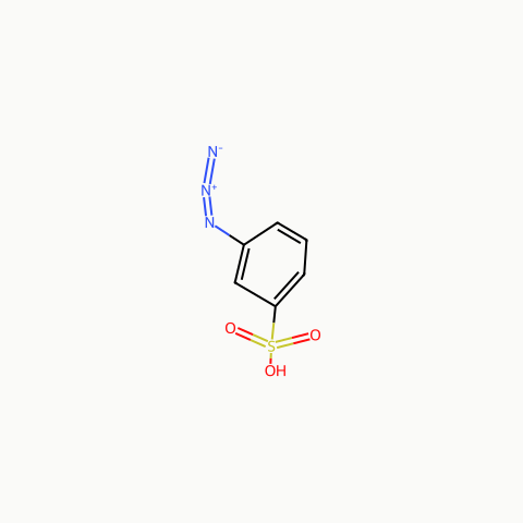 [N-]=[N+]=Nc1cccc(S(=O)(=O)O)c1